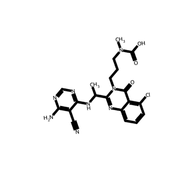 CC(Nc1ncnc(N)c1C#N)c1nc2cccc(Cl)c2c(=O)n1CCCN(C)C(=O)O